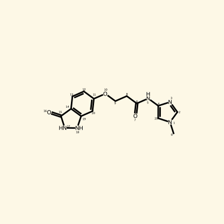 Cn1cnc(NC(=O)CCOc2ccc3c(=O)[nH][nH]c3c2)c1